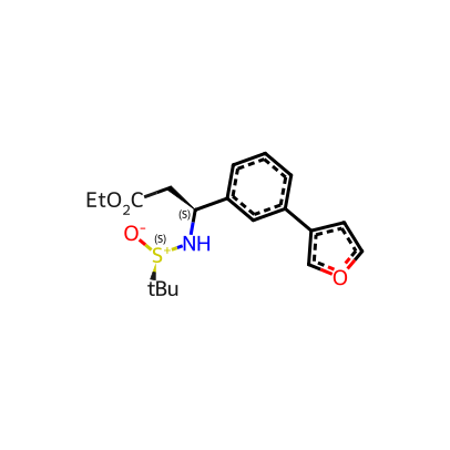 CCOC(=O)C[C@H](N[S@+]([O-])C(C)(C)C)c1cccc(-c2ccoc2)c1